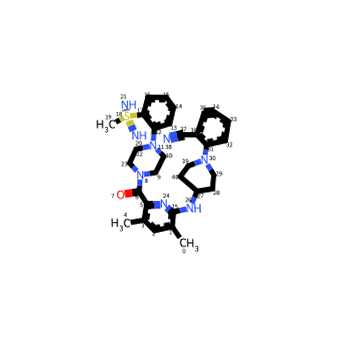 Cc1cc(C)c(C(=O)N2CCN(c3ccccc3S(C)(=N)=N)CC2)nc1NC1CCN(c2ccc#cc2C#N)CC1